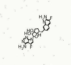 Nc1nc2cc(C[C@@H]3CC[C@@]4(O)[C@@H]3O[C@@H](n3cc(F)c5c(N)ncnc53)[C@@H]4O)ccc2cc1F